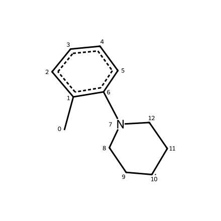 Cc1ccccc1N1CC[CH]CC1